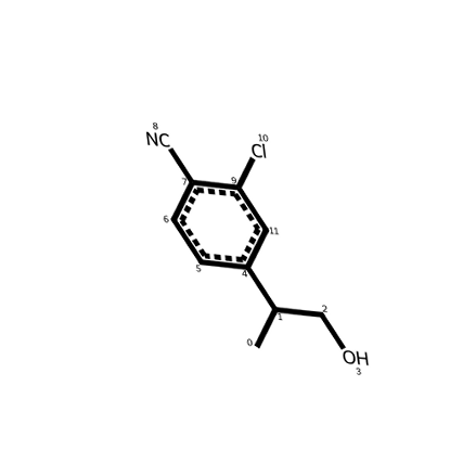 C[C](CO)c1ccc(C#N)c(Cl)c1